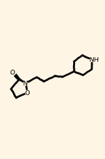 O=C1CCON1CCCCC1CCNCC1